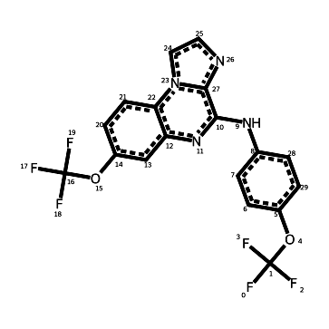 FC(F)(F)Oc1ccc(Nc2nc3cc(OC(F)(F)F)ccc3n3ccnc23)cc1